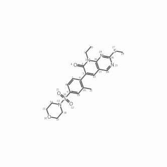 CCn1c(=O)c(-c2ccc(S(=O)(=O)N3CCOCC3)cc2C)cc2cnc(SC)nc21